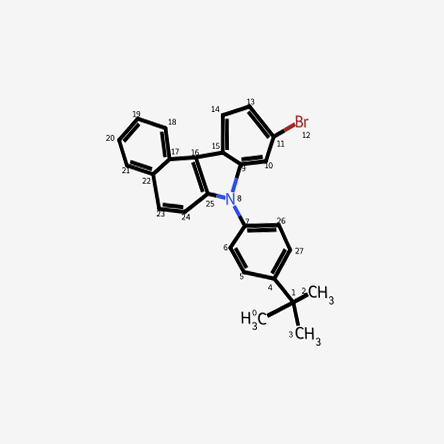 CC(C)(C)c1ccc(-n2c3cc(Br)ccc3c3c4ccccc4ccc32)cc1